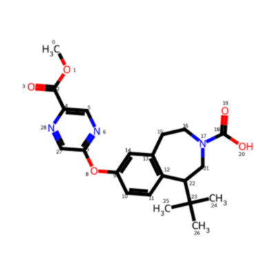 COC(=O)c1cnc(Oc2ccc3c(c2)CCN(C(=O)O)CC3C(C)(C)C)cn1